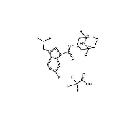 O=C(O)C(F)(F)F.O=C(O[C@H]1C[C@H]2COC[C@@H](C1)N2)c1cn(CC(F)F)c2ccc(F)cc12